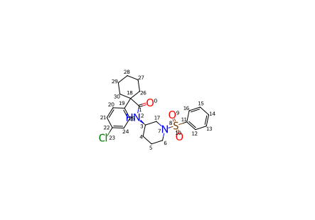 O=C(N[C@@H]1CCCN(S(=O)(=O)c2ccccc2)C1)C1(c2ccc(Cl)cc2)CCCCC1